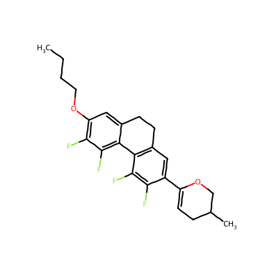 CCCCOc1cc2c(c(F)c1F)-c1c(cc(C3=CCC(C)CO3)c(F)c1F)CC2